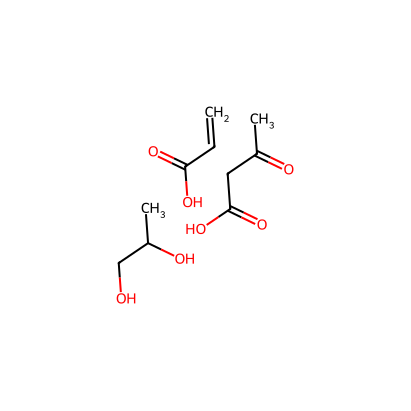 C=CC(=O)O.CC(=O)CC(=O)O.CC(O)CO